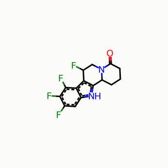 O=C1CCCC2c3[nH]c4cc(F)c(F)c(F)c4c3C(F)CN12